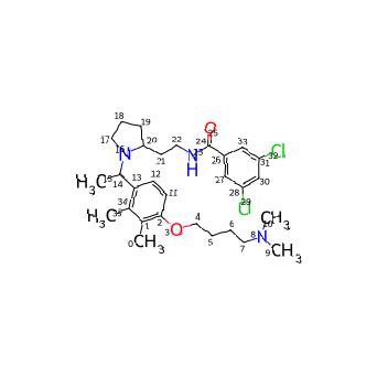 Cc1c(OCCCCN(C)C)ccc(C(C)N2CCCC2CCNC(=O)c2cc(Cl)cc(Cl)c2)c1C